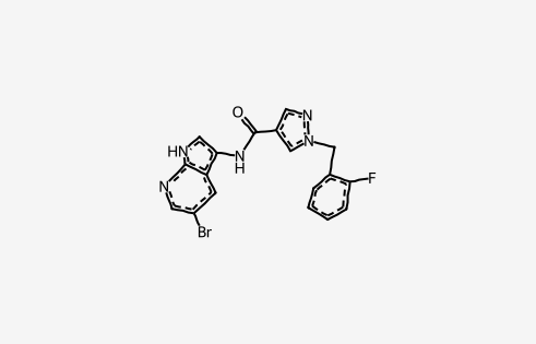 O=C(Nc1c[nH]c2ncc(Br)cc12)c1cnn(Cc2ccccc2F)c1